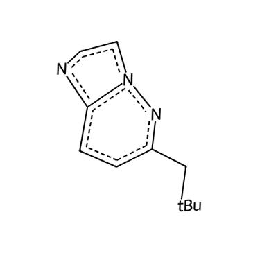 CC(C)(C)Cc1ccc2nccn2n1